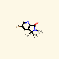 CN1C(=O)c2ncc(Br)cc2C1(C)C